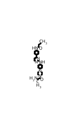 CCCC(=O)Nc1ccc(-c2ccnc(Nc3ccc(N4CCN(C(=O)[C@H](C)N)CC4)cc3)n2)cc1